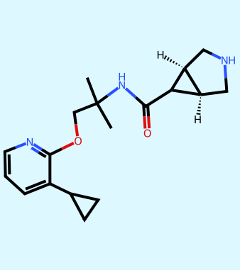 CC(C)(COc1ncccc1C1CC1)NC(=O)C1[C@H]2CNC[C@@H]12